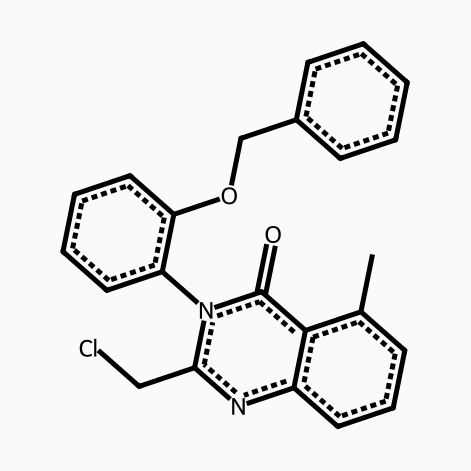 Cc1cccc2nc(CCl)n(-c3ccccc3OCc3ccccc3)c(=O)c12